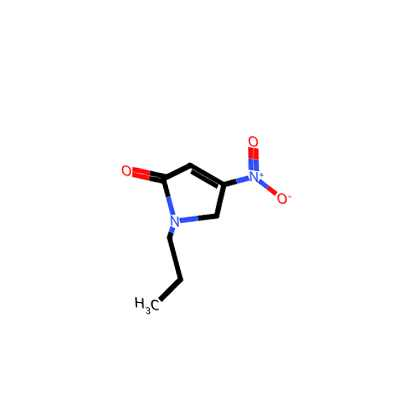 CCCN1CC([N+](=O)[O-])=CC1=O